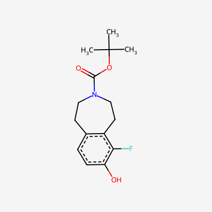 CC(C)(C)OC(=O)N1CCc2ccc(O)c(F)c2CC1